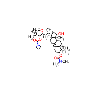 COC(C[C@@H](C)C1C[C@H](O)[C@@]2(C)C3CC[C@H]4C(C)(C)[C@@H](OC(=O)N(C)C)CC[C@@]45CC35CC[C@]12C)[C@H](OC(=O)N1CCC1)C(C)C